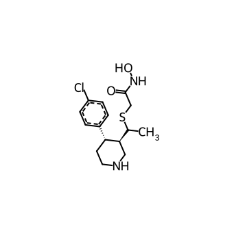 CC(SCC(=O)NO)[C@H]1CNCC[C@@H]1c1ccc(Cl)cc1